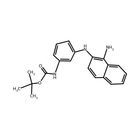 CC(C)(C)OC(=O)Nc1cccc(Nc2ccc3ccccc3c2N)c1